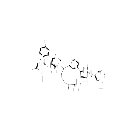 CC1CCCC(n2cnc(-c3cc(Cl)ccc3N(N)/C=C(\N)Cl)cc2=O)c2cc(ccn2)C(=N)/C(=C\NC2=CNCN=C2)NC1=O